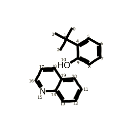 CC(C)(C)c1ccccc1O.c1ccc2ncccc2c1